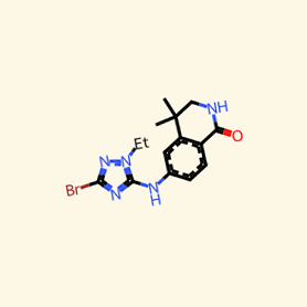 CCn1nc(Br)nc1Nc1ccc2c(c1)C(C)(C)CNC2=O